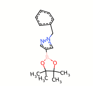 CC1(C)OB(c2cnn(Cc3ccccc3)c2)OC1(C)C